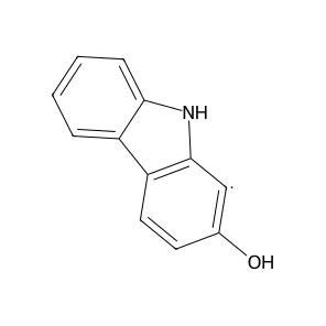 Oc1[c]c2[nH]c3ccccc3c2cc1